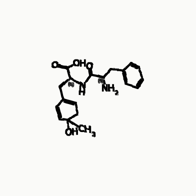 CC1(O)C=CC(C[C@H](NC(=O)[C@@H](N)Cc2ccccc2)C(=O)O)=CC1